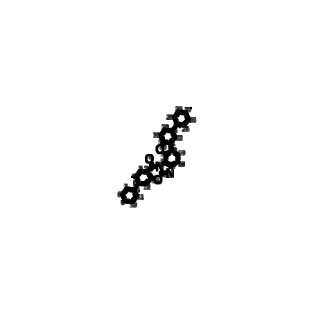 O=c1c2ccc(-c3ccccc3)cc2oc2nc3ccc4c5cc(-c6ccccc6)ccc5oc4c3n12